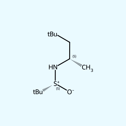 C[C@@H](CC(C)(C)C)N[S@+]([O-])C(C)(C)C